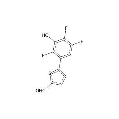 O=Cc1ccc(-c2cc(F)c(F)c(O)c2F)s1